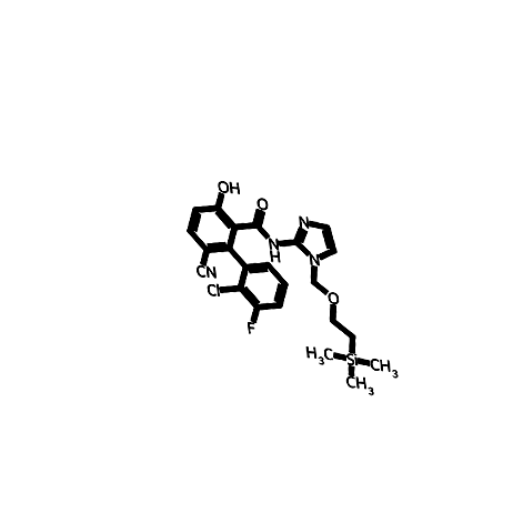 C[Si](C)(C)CCOCn1ccnc1NC(=O)c1c(O)ccc(C#N)c1-c1cccc(F)c1Cl